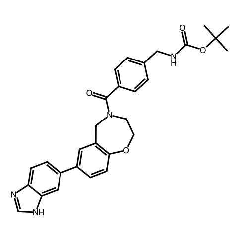 CC(C)(C)OC(=O)NCc1ccc(C(=O)N2CCOc3ccc(-c4ccc5nc[nH]c5c4)cc3C2)cc1